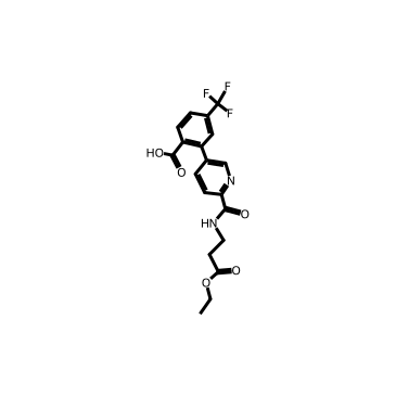 CCOC(=O)CCNC(=O)c1ccc(-c2cc(C(F)(F)F)ccc2C(=O)O)cn1